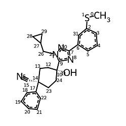 CSc1cccc(-c2nc([C@]3(O)CC[C@](C#N)(c4ccccc4)CC3)n(CC3CC3)n2)c1